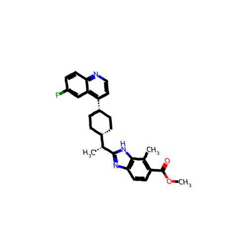 COC(=O)c1ccc2nc([C@H](C)[C@H]3CC[C@@H](c4ccnc5ccc(F)cc54)CC3)[nH]c2c1C